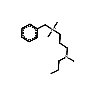 CCCN(C)CCC[N+](C)(C)Cc1ccccc1